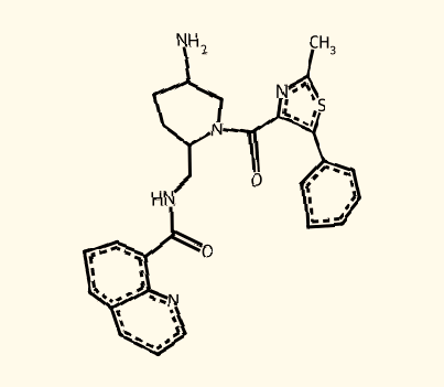 Cc1nc(C(=O)N2CC(N)CCC2CNC(=O)c2cccc3cccnc23)c(-c2ccccc2)s1